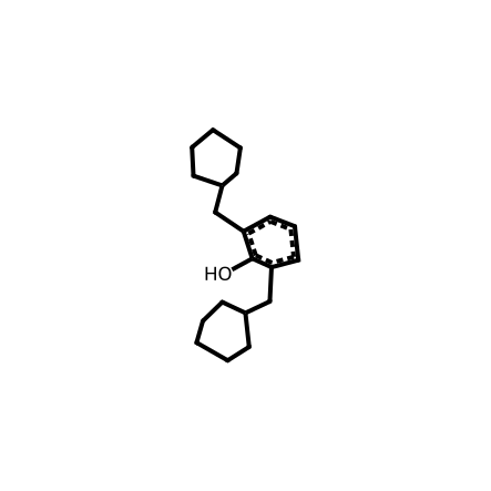 Oc1c(CC2CCCCC2)cccc1CC1CCCCC1